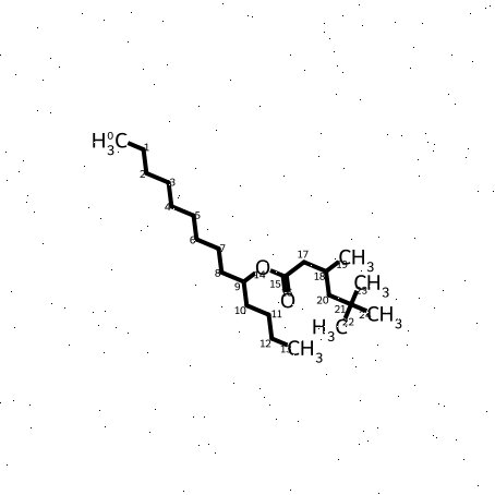 CCCCCCCCCC(CCCC)OC(=O)CC(C)CC(C)(C)C